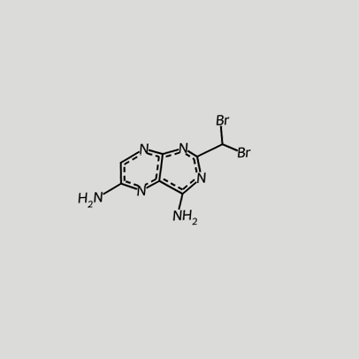 Nc1cnc2nc(C(Br)Br)nc(N)c2n1